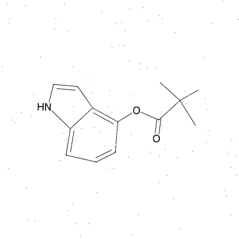 CC(C)(C)C(=O)Oc1cccc2[nH]ccc12